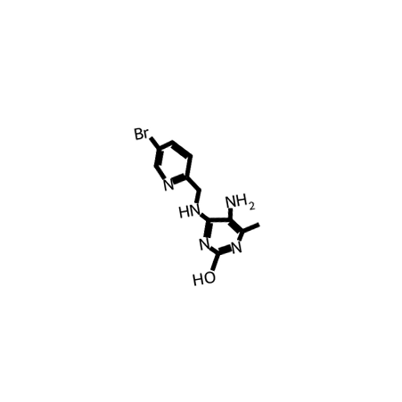 Cc1nc(O)nc(NCc2ccc(Br)cn2)c1N